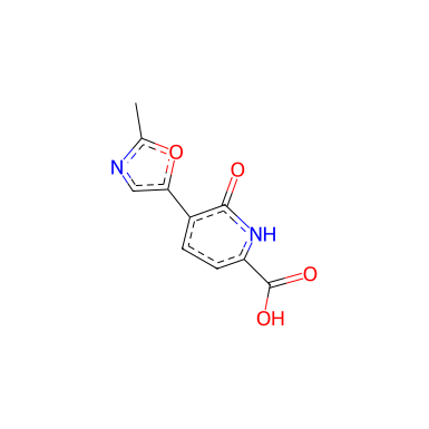 Cc1ncc(-c2ccc(C(=O)O)[nH]c2=O)o1